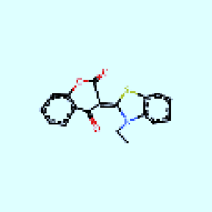 CCN1/C(=C2/C(=O)Oc3ccccc3C2=O)Sc2ccccc21